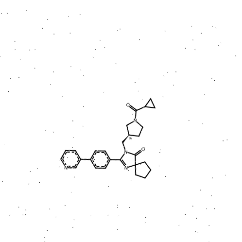 O=C(C1CC1)N1CC[C@@H](CN2C(=O)C3(CCCC3)N=C2c2ccc(-c3cccnc3)cc2)C1